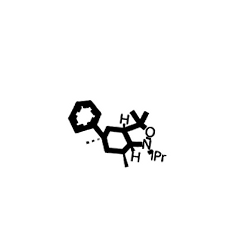 CC(C)N1OC(C)(C)[C@@H]2C[C@](C)(c3ccccc3)C[C@H](C)[C@H]21